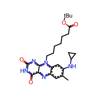 Cc1cc2nc3c(=O)[nH]c(=O)nc-3n(CCCCCCC(=O)OC(C)(C)C)c2cc1NC1CC1